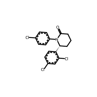 O=C1CCC[C@H](c2ccc(Cl)cc2Cl)N1c1ccc(Cl)cc1